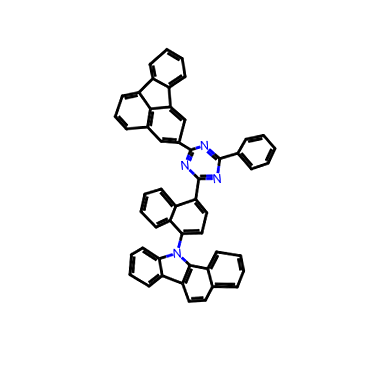 c1ccc(-c2nc(-c3cc4c5c(cccc5c3)-c3ccccc3-4)nc(-c3ccc(-n4c5ccccc5c5ccc6ccccc6c54)c4ccccc34)n2)cc1